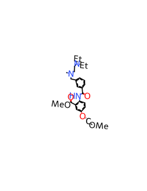 CCN(CC)CCN(C)Cc1cccc(C(=O)Nc2ccc(OCCOC)cc2C(=O)OC)c1